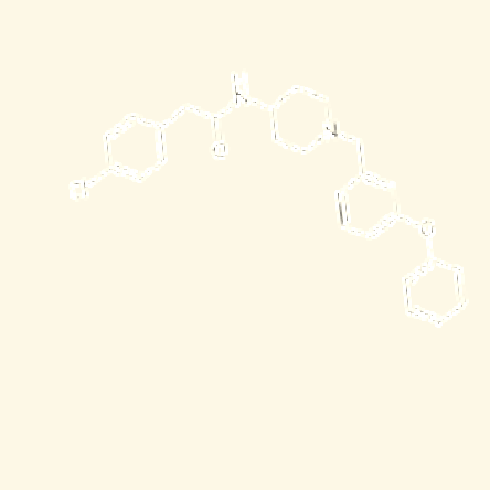 O=C(Cc1ccc(Cl)cc1)NC1CCN(Cc2cccc(Oc3ccccc3)c2)CC1